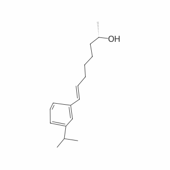 CC(C)c1cccc(/C=C/CCCC[C@H](C)O)c1